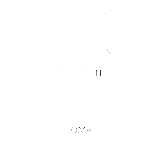 COCC12CCC(c3cc(O)nnc31)C21CC1